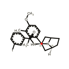 COc1ccc(CN2C3CC[C@H]2C[C@@H](NC(=O)c2cccc(I)c2)C3)c(C)c1C